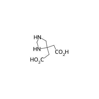 O=C(O)CC1(CC(=O)O)CNCN1